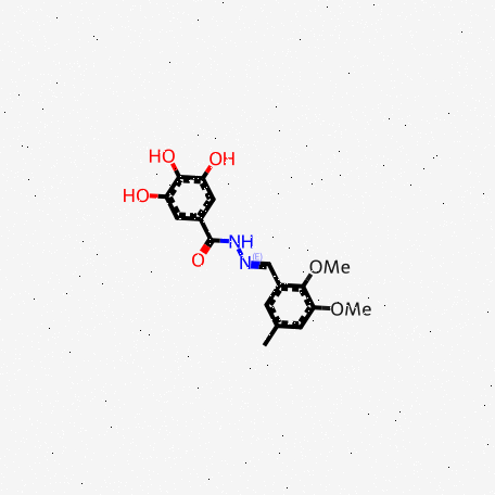 COc1cc(C)cc(/C=N/NC(=O)c2cc(O)c(O)c(O)c2)c1OC